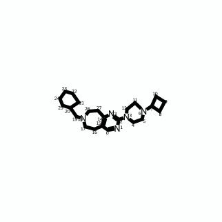 c1nc(N2CCN(C3CCC3)CC2)nc2c1CCN(CC1CCCCC1)CC2